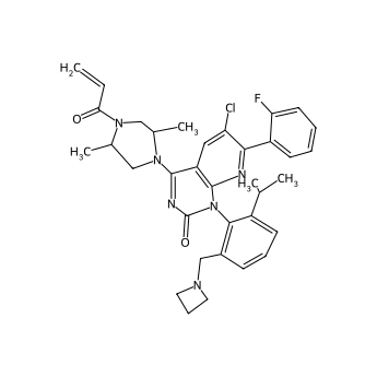 C=CC(=O)N1CC(C)N(c2nc(=O)n(-c3c(CN4CCC4)cccc3C(C)C)c3nc(-c4ccccc4F)c(Cl)cc23)CC1C